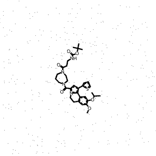 COc1cc2c(cc1OC(C)C)-c1c(-c3cccs3)cc(C(=O)N3CCCN(C(=O)CCNC(=O)OC(C)(C)C)CC3)n1CC2